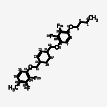 CCCCOc1ccc(OCC2C=CC(COc3ccc(C)c(F)c3F)CC2)c(F)c1F